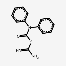 N=C(N)SC(=O)N(c1ccccc1)c1ccccc1